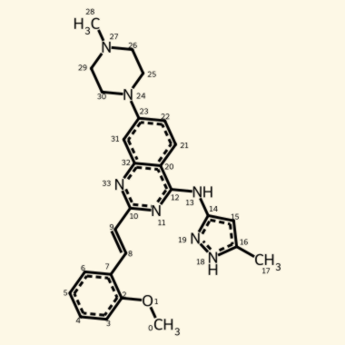 COc1ccccc1/C=C/c1nc(Nc2cc(C)[nH]n2)c2ccc(N3CCN(C)CC3)cc2n1